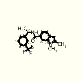 Cc1cc2ccc(C(=O)N[C@@H](C)c3cccc(C(F)(F)F)c3)cc2n1C